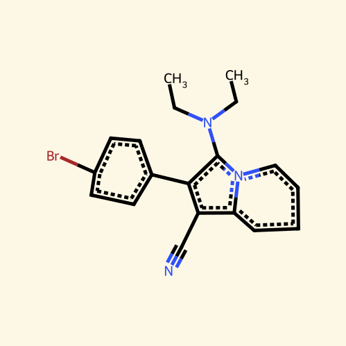 CCN(CC)c1c(-c2ccc(Br)cc2)c(C#N)c2ccccn12